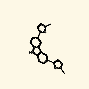 Cc1ccc(-c2ccc3[nH]c4ccc(-c5ccc(C)s5)cc4c3c2)s1